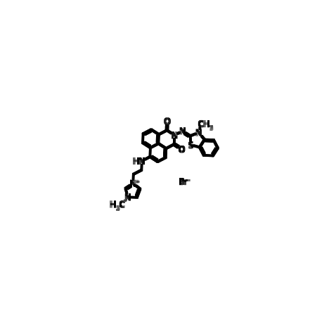 Cn1cc[n+](CCNc2ccc3c4c(cccc24)C(=O)N(N=c2sc4ccccc4n2C)C3=O)c1.[Br-]